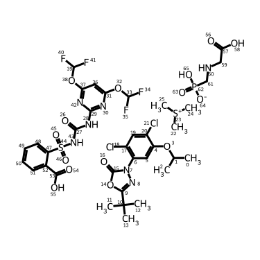 CC(C)Oc1cc(-n2nc(C(C)(C)C)oc2=O)c(Cl)cc1Cl.C[S+](C)C.O=C(Nc1nc(OC(F)F)cc(OC(F)F)n1)NS(=O)(=O)c1ccccc1C(=O)O.O=C(O)CNCP(=O)([O-])O